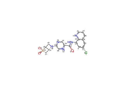 O=C(Nc1cc(F)cc2cccnc12)c1cnc(N2CC3C2CS3(=O)=O)cn1